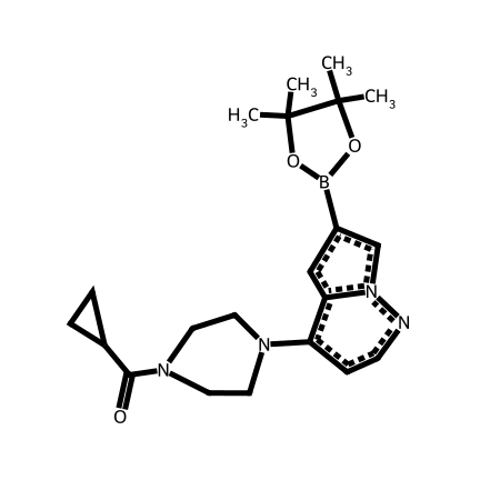 CC1(C)OB(c2cc3c(N4CCN(C(=O)C5CC5)CC4)ccnn3c2)OC1(C)C